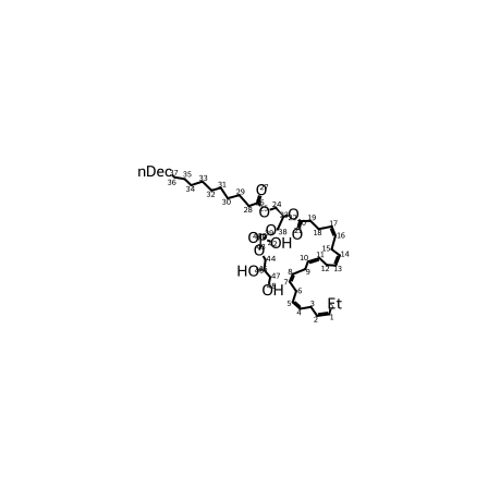 CC/C=C\C/C=C\C/C=C\C/C=C\C/C=C\C/C=C\CCC(=O)O[C@H](COC(=O)CCCCCCCCCCCCCCCCCCC)COP(=O)(O)OC[C@@H](O)CO